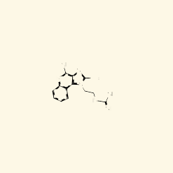 CCCCc1nc2c(N)nc3ccccc3c2n1CCNC(=N)N